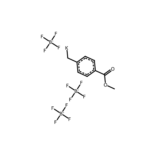 COC(=O)c1ccc([CH2][K])cc1.F[B-](F)(F)F.F[B-](F)(F)F.F[B-](F)(F)F